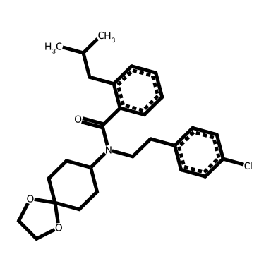 CC(C)Cc1ccccc1C(=O)N(CCc1ccc(Cl)cc1)C1CCC2(CC1)OCCO2